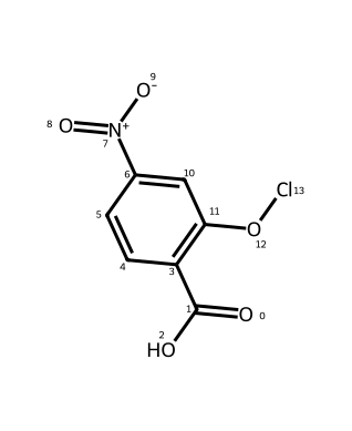 O=C(O)c1ccc([N+](=O)[O-])cc1OCl